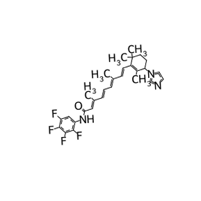 CC1=C(/C=C/C(C)=C/C=C/C(C)=C/C(=O)Nc2cc(F)c(F)c(F)c2F)C(C)(C)CCC1n1ccnc1